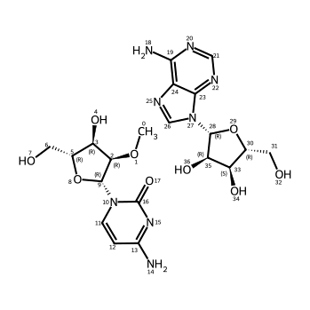 CO[C@@H]1[C@H](O)[C@@H](CO)O[C@H]1n1ccc(N)nc1=O.Nc1ncnc2c1ncn2[C@@H]1O[C@H](CO)[C@@H](O)[C@H]1O